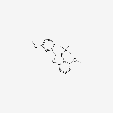 COc1cccc(C2Oc3cccc(OC)c3P2C(C)(C)C)n1